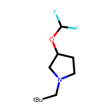 CC(C)(C)CN1CCC(OC(F)F)C1